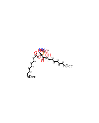 CCCCCCCCCCCCCCCCCC(=O)OC(CN)(C(=O)CCCCCCCCCCCCCCCCC)P(=O)(O)O